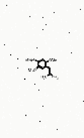 CCCCCCCc1cc(OC)c(/C=C(\C)[N+](=O)[O-])cc1OC